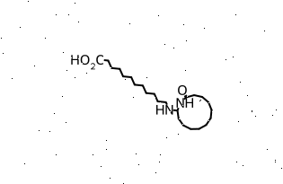 O=C(O)CCCCCCCCCCCNC1CCCCCCCCCCC(=O)N1